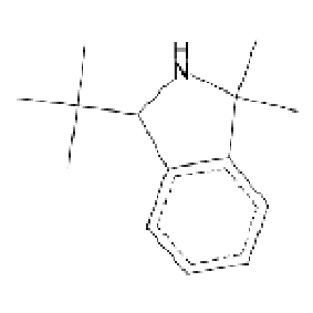 CC1(C)NC(C(C)(C)C)c2ccccc21